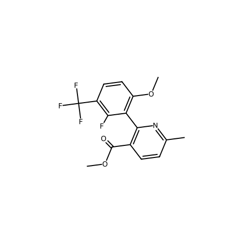 COC(=O)c1ccc(C)nc1-c1c(OC)ccc(C(F)(F)F)c1F